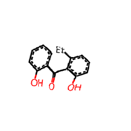 CCc1cccc(O)c1C(=O)c1ccccc1O